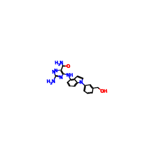 NC(=O)c1nnc(N)nc1Nc1cccc2c1ccn2-c1cccc(CO)c1